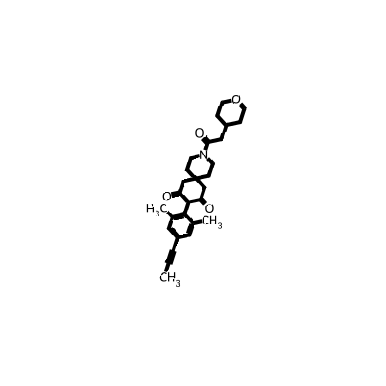 CC#Cc1cc(C)c(C2C(=O)CC3(CCN(C(=O)CC4CCOCC4)CC3)CC2=O)c(C)c1